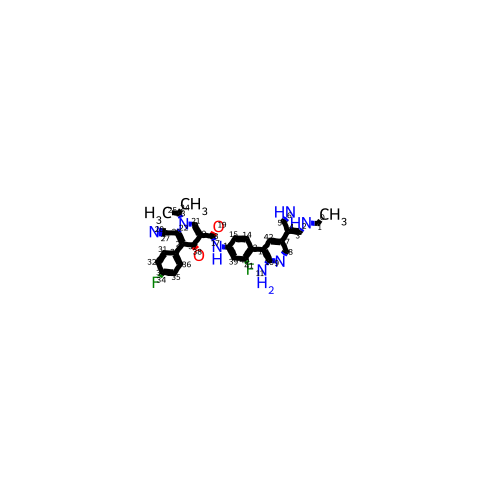 CCN/C=C(\C=N)c1cnc(N)c(-c2ccc(NC(=O)c3cn(C(C)C)c(C#N)c(-c4ccc(F)cc4)c3=O)cc2F)c1